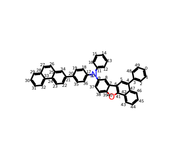 c1ccc(-c2cc3c4cc(N(c5ccccc5)c5ccc(-c6ccc7c(ccc8ccccc87)c6)cc5)ccc4oc3c3ccccc23)cc1